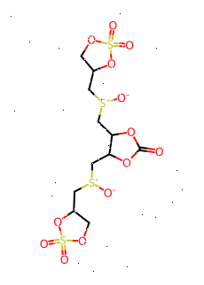 O=C1OC(C[S+]([O-])CC2COS(=O)(=O)O2)C(C[S+]([O-])CC2COS(=O)(=O)O2)O1